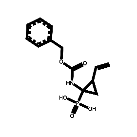 C=CC1CC1(NC(=O)OCc1ccccc1)P(=O)(O)O